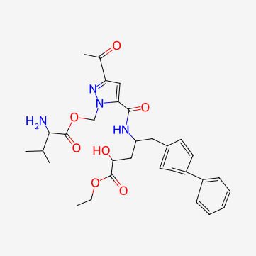 CCOC(=O)C(O)CC(Cc1ccc(-c2ccccc2)cc1)NC(=O)c1cc(C(C)=O)nn1COC(=O)C(N)C(C)C